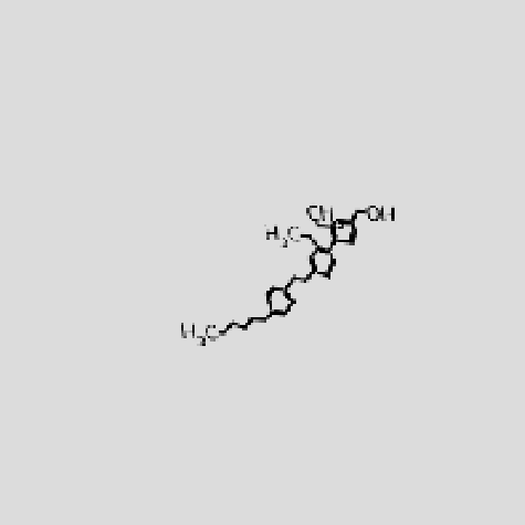 CCCCCCc1ccc(CCc2ccc(-c3ccc(CO)cc3CC)c(CC)c2)cc1